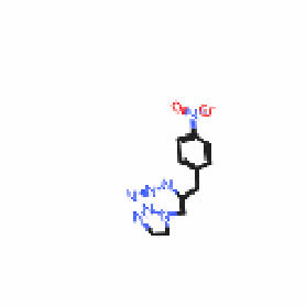 [N-]=[N+]=NC(Cc1ccc([N+](=O)[O-])cc1)CN1CCN=N1